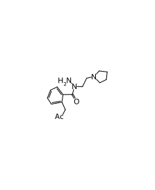 CC(=O)Cc1ccccc1C(=O)N(N)CCN1CCCC1